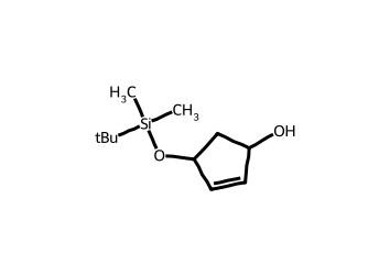 CC(C)(C)[Si](C)(C)OC1C=CC(O)C1